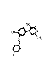 Cc1cc(-c2ccc(N)c(OCc3ccc(F)cc3)c2)c(C#N)c(Cl)n1